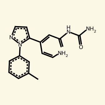 C=C(/C=C(\C=C/N)c1ccnn1-c1cccc(C)c1)NC(N)=O